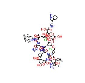 CN[C@H](CC(C)C)C(=O)N[C@H]1C(=O)N[C@@H](CC(N)=O)C(=O)N[C@H]2C(=O)N[C@H]3C(=O)N[C@H](C(=O)N[C@@H](C(=O)O)c4cc(O)cc(O)c4-c4cc3ccc4O)[C@H](OC3C[C@](C)(N)[C@@H](O)[C@H](C)O3)c3ccc(c(Cl)c3)Oc3cc2cc(c3O[C@@H]2O[C@H](CO)[C@@H](O[C@@H]3O[C@H](CNCCc4c[nH]c5ccccc45)[C@H](O)[C@H](O)[C@H]3O)[C@H](O)[C@H]2O)Oc2ccc(cc2Cl)[C@H]1O